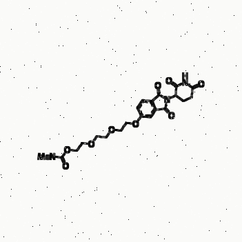 CNC(=O)OCCOCCOCCOc1ccc2c(c1)C(=O)N(C1CCC(=O)NC1=O)C2=O